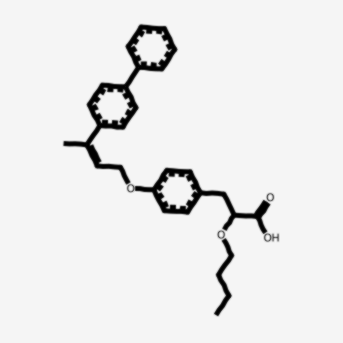 CCCCOC(Cc1ccc(OCC=C(C)c2ccc(-c3ccccc3)cc2)cc1)C(=O)O